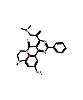 C=C(CN(C)C)c1nc(-c2ccccc2)nc(-c2cccc([N+](=O)[O-])c2)c1C(=O)N1CCN(C)CC1